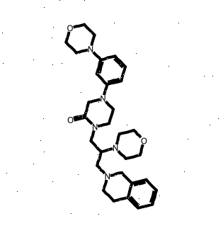 O=C1CN(c2cccc(N3CCOCC3)c2)CCN1CC(CN1CCc2ccccc2C1)N1CCOCC1